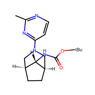 Cc1nccc(N2C[C@H]3CC[C@@H](C2)[C@@H]3NC(=O)OC(C)(C)C)n1